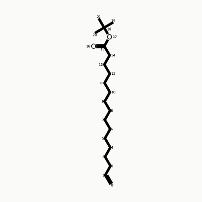 C=CCCCCCCCCCCCCCC(=O)OC(C)(C)C